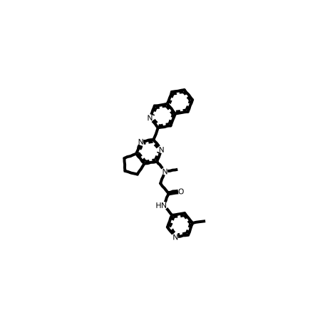 Cc1cncc(NC(=O)CN(C)c2nc(-c3cc4ccccc4cn3)nc3c2CCC3)c1